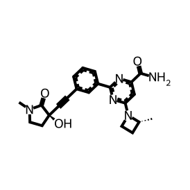 C[C@@H]1CCN1c1cc(C(N)=O)nc(-c2cccc(C#C[C@]3(O)CCN(C)C3=O)c2)n1